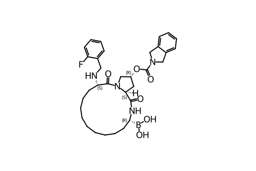 O=C1N[C@H](B(O)O)CCCCCCCCC[C@H](NCc2ccccc2F)C(=O)N2C[C@H](OC(=O)N3Cc4ccccc4C3)C[C@@H]12